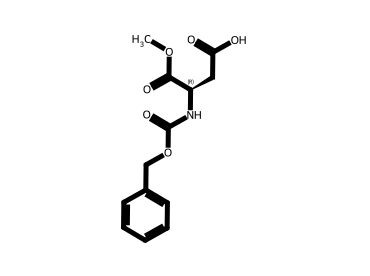 COC(=O)[C@@H](CC(=O)O)NC(=O)OCc1ccccc1